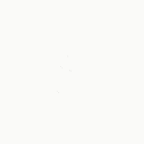 FC(F)(F)Cn1ncc2ncccc21